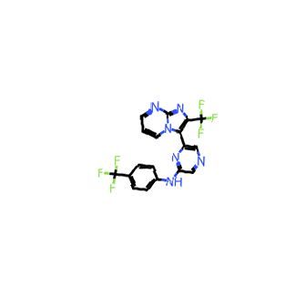 FC(F)(F)c1ccc(Nc2cncc(-c3c(C(F)(F)F)nc4ncccn34)n2)cc1